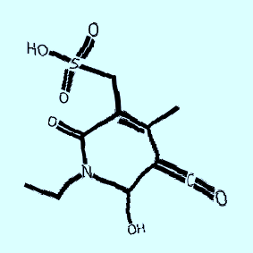 CCN1C(=O)C(CS(=O)(=O)O)=C(C)C(=C=O)C1O